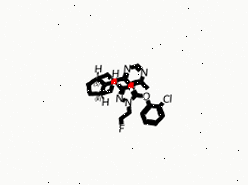 Cc1cc(N2C[C@H]3CC[C@@H](C2)C3Nc2nc(Oc3ccccc3Cl)n(CCF)n2)ncn1